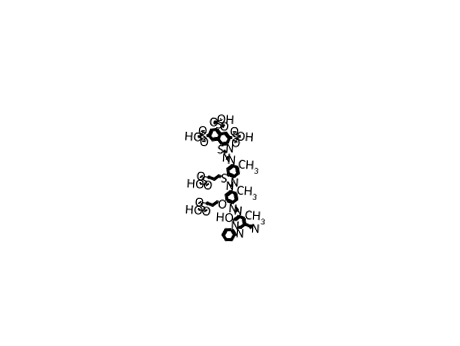 Cc1cc(N=Nc2cc(OCCCS(=O)(=O)O)c(N=Nc3c(C)c(C#N)c4nc5c(n4c3O)C=CCC5)cc2C)c(SCCCS(=O)(=O)O)cc1N=Nc1nc2c(S(=O)(=O)O)cc3c(S(=O)(=O)O)cc(S(=O)(=O)O)cc3c2s1